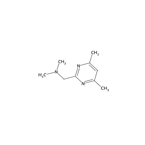 Cc1cc(C)nc(CN(C)C)n1